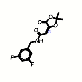 CC1(C)OC(=O)/C(=C\C(=O)NCc2cc(F)cc(F)c2)O1